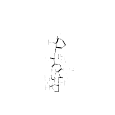 O=C(NCc1cccc(Cl)c1F)c1cn2c(c(O)c1=O)C(=O)N1[C@H]3CC[C@H](C3)O[C@@H]1C2